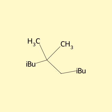 CCC(C)CC(C)(C)C(C)CC